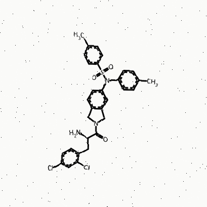 Cc1ccc(N(c2ccc3c(c2)CN(C(=O)[C@H](N)Cc2ccc(Cl)cc2Cl)C3)S(=O)(=O)c2ccc(C)cc2)cc1